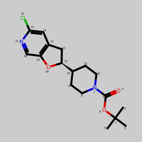 CC(C)(C)OC(=O)N1CCC([C@@H]2Cc3cc(Cl)ncc3O2)CC1